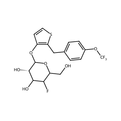 OCC1OC(Oc2ccsc2Cc2ccc(OC(F)(F)F)cc2)[C@@H](O)C(O)C1F